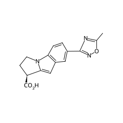 Cc1nc(-c2ccc3c(c2)cc2n3CC[C@@H]2C(=O)O)no1